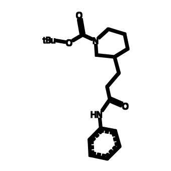 CC(C)(C)OC(=O)N1CCCC(CCC(=O)Nc2ccccc2)C1